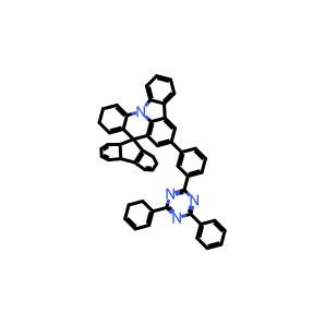 C1=CCCC(c2nc(-c3ccccc3)nc(-c3cccc(-c4cc5c6c(c4)c4ccccc4n6C4=CCCC=C4C54C5=C(C=CCC5)C5C=CC=CC54)c3)n2)=C1